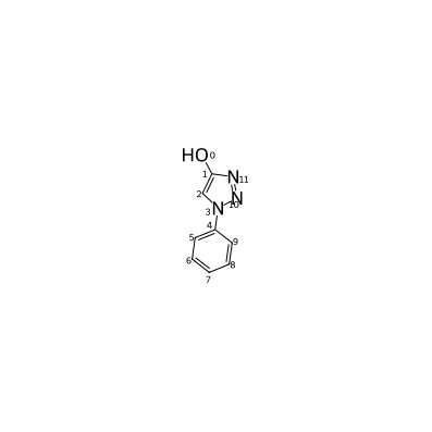 Oc1cn(-c2ccccc2)nn1